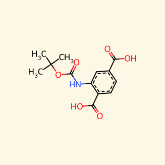 CC(C)(C)OC(=O)Nc1cc(C(=O)O)ccc1C(=O)O